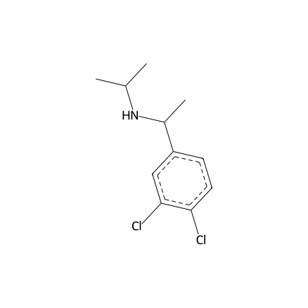 CC(C)NC(C)c1ccc(Cl)c(Cl)c1